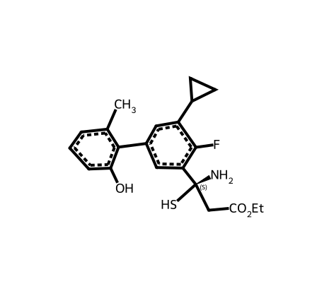 CCOC(=O)C[C@](N)(S)c1cc(-c2c(C)cccc2O)cc(C2CC2)c1F